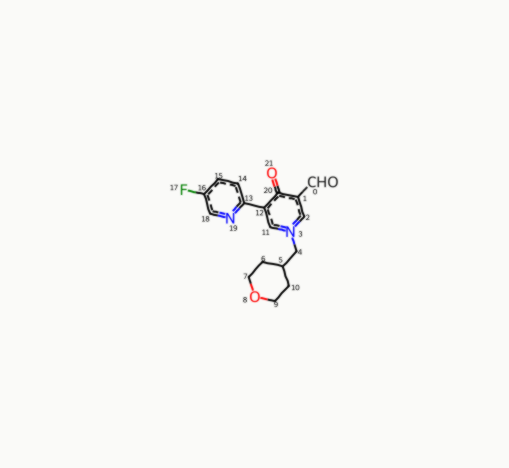 O=Cc1cn(CC2CCOCC2)cc(-c2ccc(F)cn2)c1=O